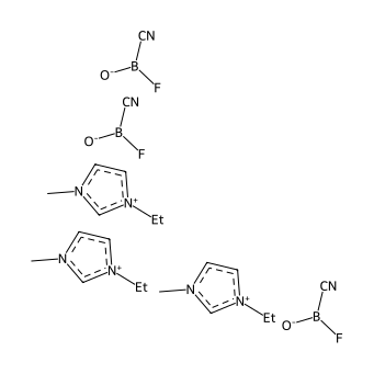 CC[n+]1ccn(C)c1.CC[n+]1ccn(C)c1.CC[n+]1ccn(C)c1.N#CB([O-])F.N#CB([O-])F.N#CB([O-])F